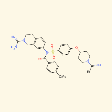 CCC(=N)N1CCC(Oc2ccc(S(=O)(=O)N(C(=O)c3ccc(OC)cc3)c3ccc4c(c3)CN(C(=N)N)CC4)cc2)CC1